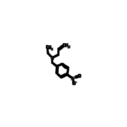 C=CCN(CC)Cc1ccc([N+](=O)[O-])cc1